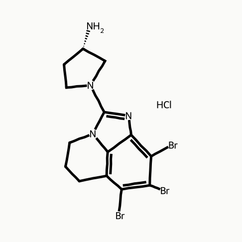 Cl.N[C@H]1CCN(c2nc3c(Br)c(Br)c(Br)c4c3n2CCC4)C1